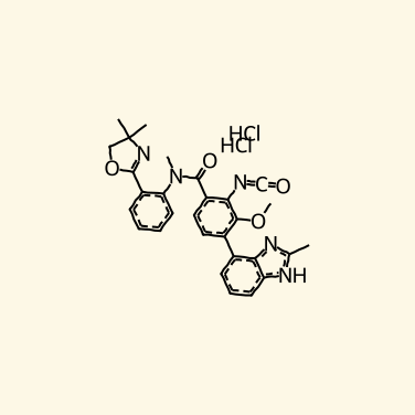 COc1c(-c2cccc3[nH]c(C)nc23)ccc(C(=O)N(C)c2ccccc2C2=NC(C)(C)CO2)c1N=C=O.Cl.Cl